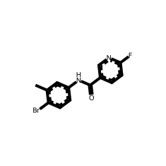 Cc1cc(NC(=O)c2ccc(F)nc2)ccc1Br